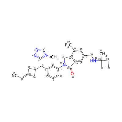 Cn1cnnc1C(c1cccc(N2Cc3c(cc(CNC4(C)CCC4)cc3C(F)(F)F)C2=O)c1)C1CC(=CC#N)C1